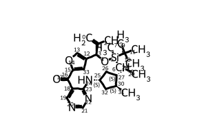 C=C(C)C(O[Si](C)(C)C(C)(C)C)c1coc(C(=O)c2cncnc2N[C@@H]2C[C@H](CC)[C@@H](C)C2)c1